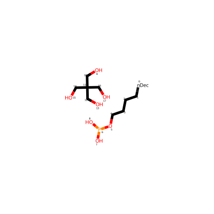 CCCCCCCCCCCCCCOP(O)O.OCC(CO)(CO)CO